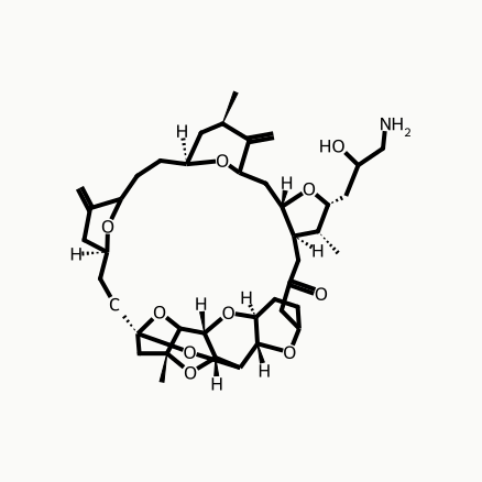 C=C1C[C@@H]2CC[C@@]34C[C@@]5(C)O[C@H]6C(O3)[C@H]3OC(CC[C@@H]3O[C@H]6C5O4)CC(=O)C[C@@H]3[C@@H](C)[C@@H](CC(O)CN)O[C@H]3CC3O[C@@H](CCC1O2)C[C@@H](C)C3=C